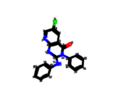 O=c1c2cc(Cl)cnc2nc(Nc2ccccc2)n1-c1ccccc1